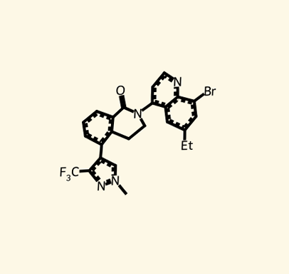 CCc1cc(Br)c2nccc(N3CCc4c(cccc4-c4cn(C)nc4C(F)(F)F)C3=O)c2c1